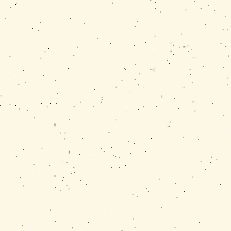 CCOC(=O)C(C)(C)Cc1cccc(-c2ccc(-c3nc4[nH]nnc4c(=O)[nH]3)c(OCC)c2)c1